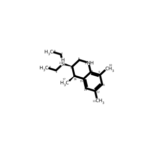 CC[SiH](CC)[C@H]1CNc2c(C)cc(C)cc2[C@H]1C